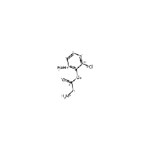 NCC(=O)Oc1ccccc1Cl.[NaH]